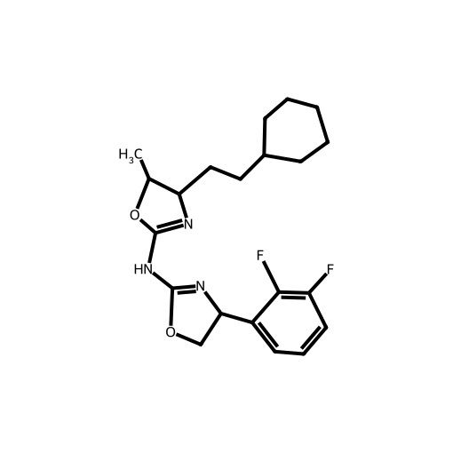 CC1OC(NC2=NC(c3cccc(F)c3F)CO2)=NC1CCC1CCCCC1